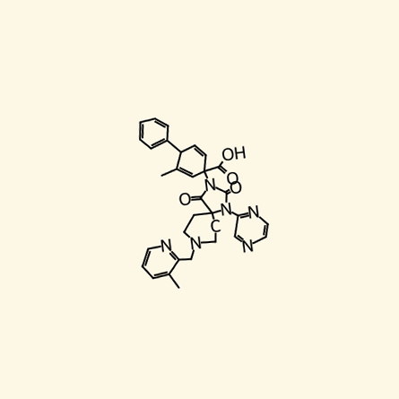 CC1=CC(C(=O)O)(N2C(=O)N(c3cnccn3)C3(CCN(Cc4ncccc4C)CC3)C2=O)C=CC1c1ccccc1